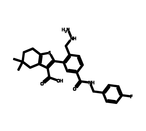 CC1(C)CCc2sc(-c3cc(C(=O)NCc4ccc(F)cc4)ccc3CNN)c(C(=O)O)c2C1